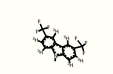 [2H]c1c(C(F)(F)F)c([2H])c2c3c([2H])c(C(F)(F)F)c([2H])c([2H])c3n(C)c2c1[2H]